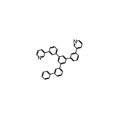 c1ccc(-c2cccc(-c3cc(-c4cccc(-c5cccnc5)c4)cc(-c4cccc(-c5cccnc5)c4)c3)c2)cc1